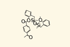 COc1ccccc1C[Si](C)(C)O[Si](C)(C)Cc1ccccc1OC(=O)c1ccc(C(C)=O)cc1